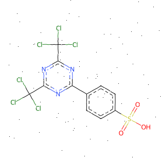 O=S(=O)(O)c1ccc(-c2nc(C(Cl)(Cl)Cl)nc(C(Cl)(Cl)Cl)n2)cc1